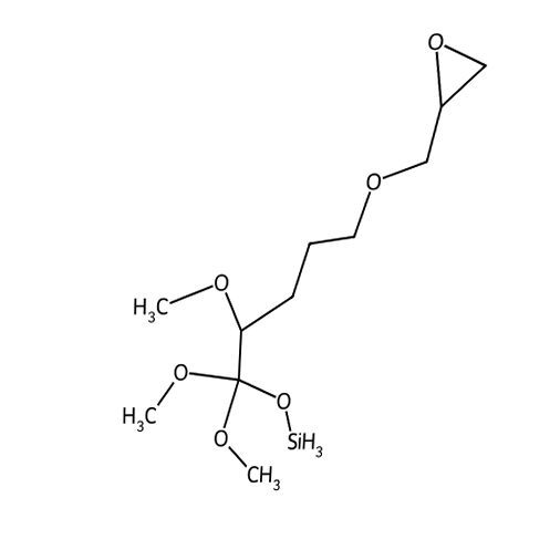 COC(CCCOCC1CO1)C(OC)(OC)O[SiH3]